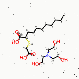 CCCCCCCCCC(SCC(=O)O)C(=O)O.OCCN(CCO)CCO